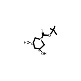 CC(C)(C)OC(=O)N1C[C@@H](O)C[C@H](O)C1